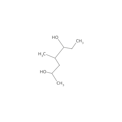 CCC(O)C(C)CC(C)O